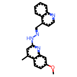 COc1ccc2c(C)cc(NN=Cc3ccnc4ccccc34)nc2c1